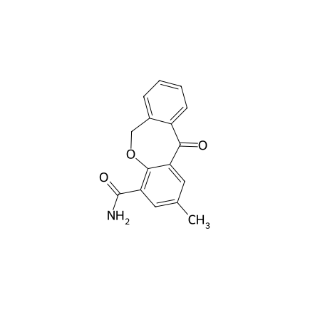 Cc1cc(C(N)=O)c2c(c1)C(=O)c1ccccc1CO2